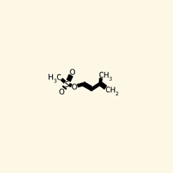 C=C(C)C=COS(C)(=O)=O